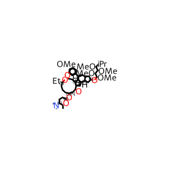 CC[C@H]1CCC[C@H](O[C@H]2CC[C@H](N(C)C)C(C)O2)[C@@H](C)C(=O)C2=C[C@@H]3C(C(c4cccc(OC)c4)=CC4C[C@@H](OC(OC)C(OC)C(OC)C(OC)C(C)C)C[C@H]43)[C@@H]2CC(=O)O1